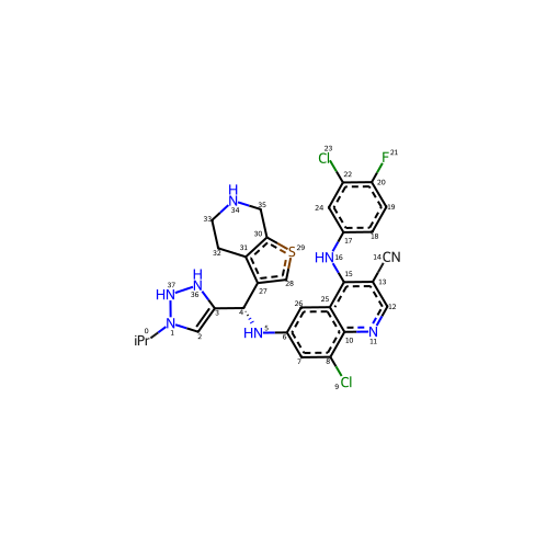 CC(C)N1C=C([C@@H](Nc2cc(Cl)c3ncc(C#N)c(Nc4ccc(F)c(Cl)c4)c3c2)c2csc3c2CCNC3)NN1